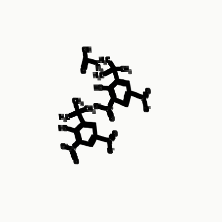 CC(=O)O.CC(C)(C)c1cc([N+](=O)[O-])cc([N+](=O)[O-])c1O.CC(C)(C)c1cc([N+](=O)[O-])cc([N+](=O)[O-])c1O